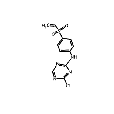 C=CS(=O)(=O)c1ccc(Nc2n[c]nc(Cl)n2)cc1